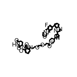 O=C1CCC(N2C(=O)c3cccc(NCCOCCOCCC(=O)N4CCC(n5cc(-c6cnc7cccc(-c8cc(F)c(CN9CCOCC9)c(F)c8)c7n6)cn5)CC4)c3C2=O)C(=O)N1